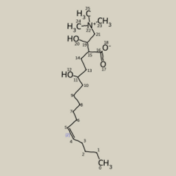 CCCC/C=C\CCCCCC(O)CCC(C(=O)[O-])C(O)C[N+](C)(C)C